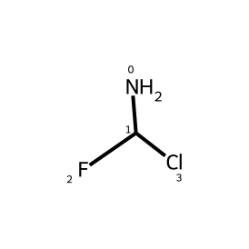 NC(F)Cl